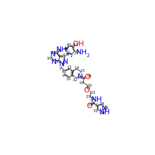 Nc1cc(-c2nn(Cc3ccc4c(c3)CCN(C(=O)CCOCCNC(=O)c3cn[nH]c3)C4)c3ncnc(N)c23)ccc1O